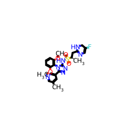 COc1cccc(OC)c1-n1c(NS(=O)(=O)[C@@H](C)CC2=NC=C(F)CN2)nnc1-c1cncc(C)c1